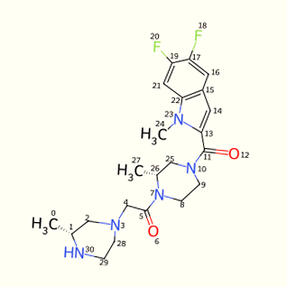 C[C@@H]1CN(CC(=O)N2CCN(C(=O)c3cc4cc(F)c(F)cc4n3C)C[C@H]2C)CCN1